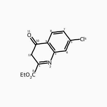 CCOC(=O)C1=Nc2cc(Cl)ccc2C(=O)C1